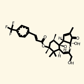 CC1=C[C@H]2[C@@]3(O)[C@H](C)C[C@@](C)(OC(=O)/C=C/c4ccc(C(F)(F)F)cc4)C(C)(C)[C@@H]3C=C(CO)C[C@]2(O)C1=O